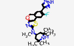 CN(c1nc2c(s1)-c1cc(F)c(-c3cn[nH]n3)cc1CO2)C1CC(C)(C)NC(C)(C)C1